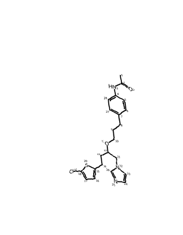 CC(=O)Nc1ccc(CCCOC(CCc2ccc(Cl)s2)Cn2ccnc2)cc1